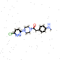 CNc1ccc(CC(=O)N2CCN(c3ccc(Cl)nn3)CC2)cc1